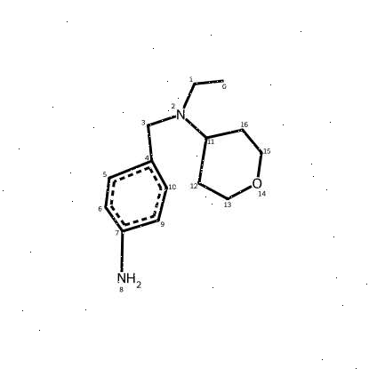 CCN(Cc1ccc(N)cc1)C1CCOCC1